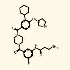 NCCC(=O)Nc1cc(F)cc(C(=O)N2CCN(C(=O)c3ccc(O[C@H]4CCNC4)c(C4CCCCC4)c3)CC2)c1